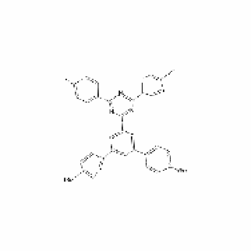 Cc1ccc(-c2nc(-c3ccc(C)cc3)nc(-c3cc(-c4ccc(C(C)(C)C)cc4)cc(-c4ccc(C(C)(C)C)cc4)c3)n2)cc1